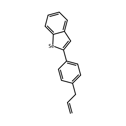 C=CCc1ccc(-c2cc3ccccc3[se]2)cc1